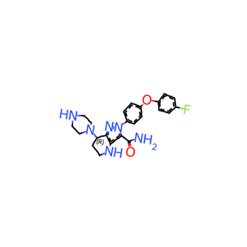 NC(=O)c1c2c(nn1-c1ccc(Oc3ccc(F)cc3)cc1)[C@H](N1CCNCC1)CCN2